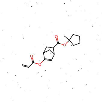 C=CC(=O)OC1=CC2CC1CC2C(=O)OC1(C)CCCC1